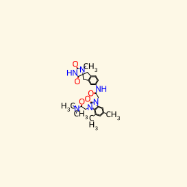 Cc1cc(C)c2c(c1)n(CC(=O)Nc1ccc3c(c1)CC1(C3)C(=O)NC(=O)N1C)c(=O)n2CC(=O)N(C)C